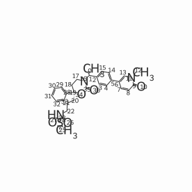 C[C@@H](c1ccc(-c2ccc(=O)n(C)c2)cc1)N1CC[C@](CCCNS(C)(=O)=O)(c2ccccc2)OC1=O